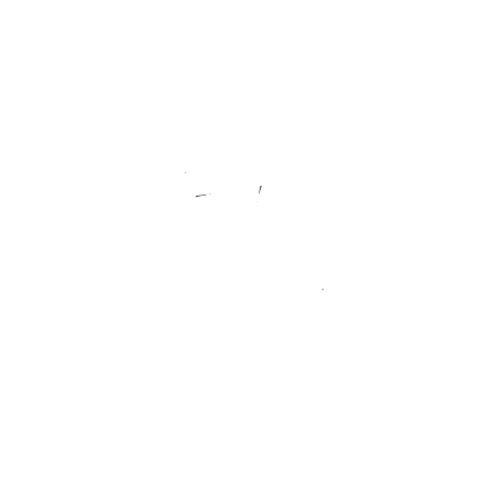 C#CCC(=O)Oc1cc(O)cc2c1[C@H]1CC[C@]3(C)[C@H](O)CC[C@H]3[C@@H]1CC2